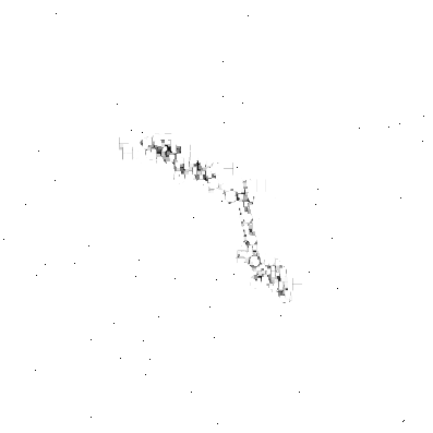 Cc1cc(-c2ccc3c(c2)c(C)nn3C2CCN(C3CCN(c4cc5c(cc4F)C(=O)N(C4CCC(=O)NC4=O)C5=O)CC3)CC2)ccc1-n1cc(C(=O)NCc2nc(C(C)(C)C(F)(F)F)n[nH]2)cn1